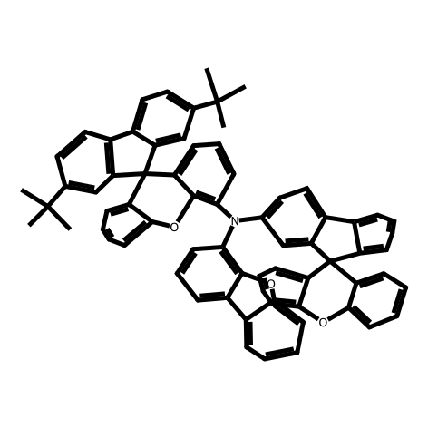 CC(C)(C)c1ccc2c(c1)C1(c3ccccc3Oc3c(N(c4ccc5c(c4)C4(c6ccccc6Oc6ccccc64)c4ccccc4-5)c4cccc5c4oc4ccccc45)cccc31)c1cc(C(C)(C)C)ccc1-2